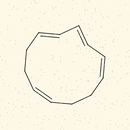 C1=C\CC/C=C\CC/C=C/C=C/1